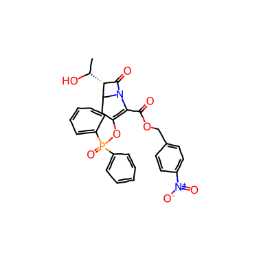 CC(O)[C@@H]1C(=O)N2C(C(=O)OCc3ccc([N+](=O)[O-])cc3)=C(OP(=O)(c3ccccc3)c3ccccc3)CC12